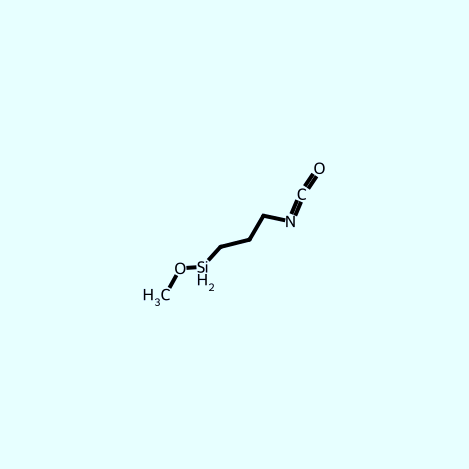 CO[SiH2]CCCN=C=O